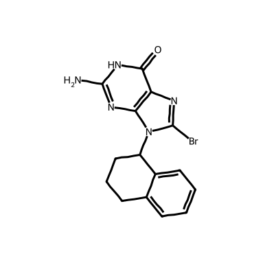 Nc1nc2c(nc(Br)n2C2CCCc3ccccc32)c(=O)[nH]1